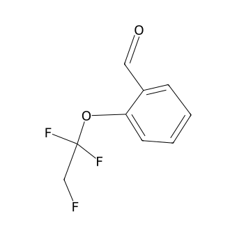 O=Cc1ccccc1OC(F)(F)CF